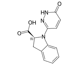 O=C(O)[C@@H]1Cc2ccccc2N1c1ccc(=O)[nH]n1